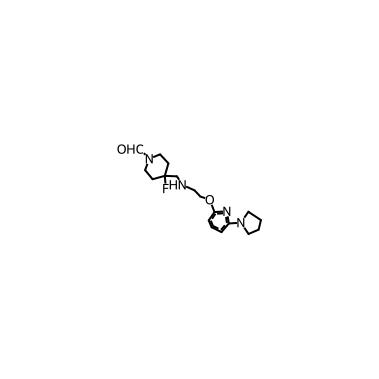 O=CN1CCC(F)(CNCCOc2cccc(N3CCCC3)n2)CC1